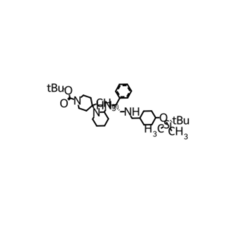 CC(C)(C)OC(=O)N1CCC(C)(N2CCCCC2N[C@@H](CNCC2CCC(O[Si](C)(C)C(C)(C)C)CC2)c2ccccc2)CC1